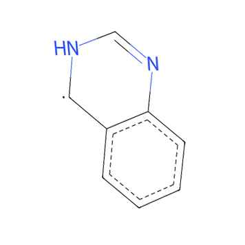 [CH]1NC=Nc2ccccc21